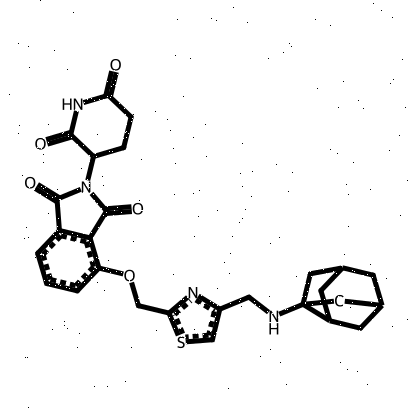 O=C1CCC(N2C(=O)c3cccc(OCc4nc(CNC56CC7CC(CC5C7)C6)cs4)c3C2=O)C(=O)N1